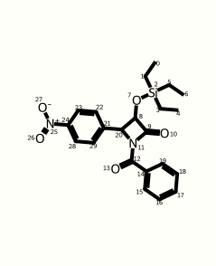 CC[Si](CC)(CC)OC1C(=O)N(C(=O)c2ccccc2)C1c1ccc([N+](=O)[O-])cc1